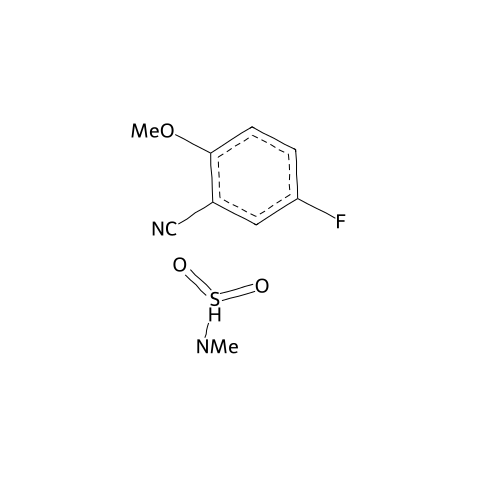 CN[SH](=O)=O.COc1ccc(F)cc1C#N